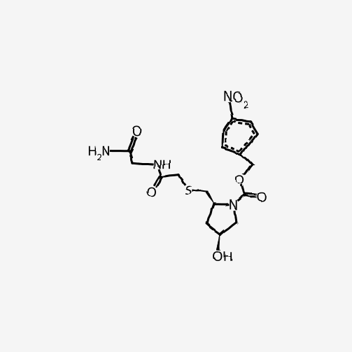 NC(=O)CNC(=O)CSC[C@@H]1C[C@H](O)CN1C(=O)OCc1ccc([N+](=O)[O-])cc1